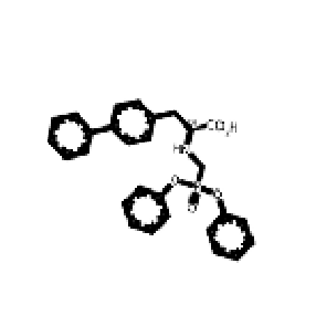 O=C(O)[C@H](Cc1ccc(-c2ccccc2)cc1)NCP(=O)(Oc1ccccc1)Oc1ccccc1